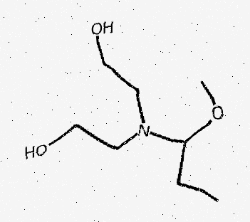 CCC(OC)N(CCO)CCO